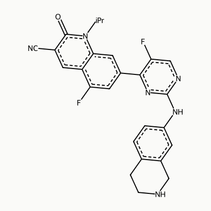 CC(C)n1c(=O)c(C#N)cc2c(F)cc(-c3nc(Nc4ccc5c(c4)CNCC5)ncc3F)cc21